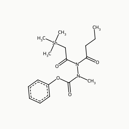 CCCC(=O)N(C(=O)[CH2][Sn]([CH3])([CH3])[CH3])N(C)C(=O)Oc1ccccc1